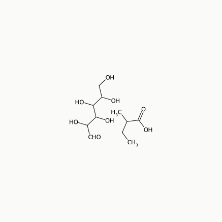 CCC(C)C(=O)O.O=CC(O)C(O)C(O)C(O)CO